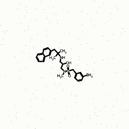 Bc1cccc(CS(=O)(=O)N(C)CC(O)CNC(C)(C)Cc2ccc3ccccc3c2)c1